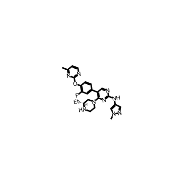 CC[C@@H]1CN(c2nc(Nc3cnn(C)c3)ncc2-c2ccc(Oc3nccc(C)n3)c(F)c2)CCN1